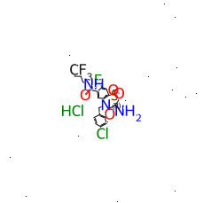 Cl.N[C@H]1CS(=O)(=O)c2cc(F)c(C(=O)NCCCC(F)(F)F)cc2N(Cc2ccc(Cl)cc2)C1=O